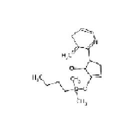 C=C1CC=CN=C1C1CC=C(O[Si](C)(C)CCCC)C1=O